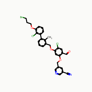 Cc1c(COc2cc(OCc3cncc(C#N)c3)c(C=O)cc2Cl)cccc1-c1cccc(OCCCBr)c1Cl